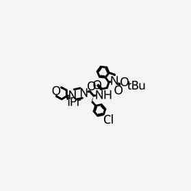 CC(C)C1(N2CCN(C(=O)[C@@H](Cc3ccc(Cl)cc3)NC(=O)CC3c4ccccc4CN3C(=O)OC(C)(C)C)CC2)CCOCC1